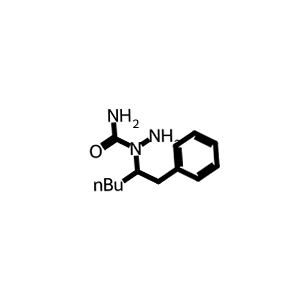 CCCCC(Cc1ccccc1)N(N)C(N)=O